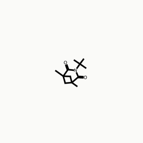 CC12CC(C)(C1)C(=O)N(C(C)(C)C)C2=O